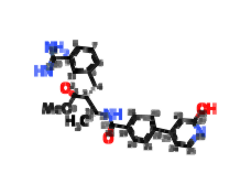 COC(=O)[C@H](Cc1cccc(C(=N)N)c1)[C@@H](C)NC(=O)c1ccc(-c2ccnc(O)c2)cc1